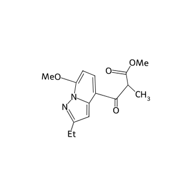 CCc1cc2c(C(=O)C(C)C(=O)OC)ccc(OC)n2n1